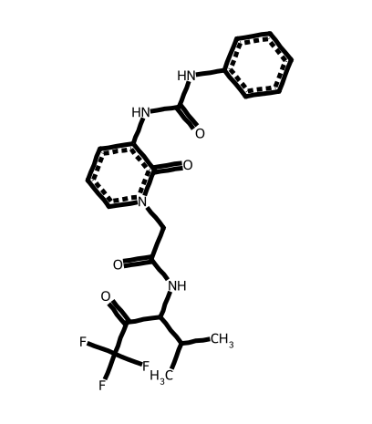 CC(C)C(NC(=O)Cn1cccc(NC(=O)Nc2ccccc2)c1=O)C(=O)C(F)(F)F